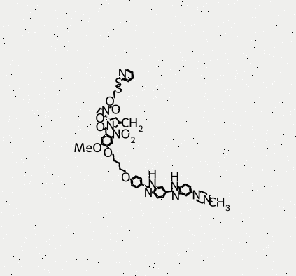 C=C1C[C@@H](C2OCCN2C(=O)OCCSSc2ccccn2)N(C(=O)c2cc(OC)c(OCCCCCOc3ccc(-c4nc5ccc(-c6nc7cc(N8CCN(C)CC8)ccc7[nH]6)cc5[nH]4)cc3)cc2[N+](=O)[O-])C1